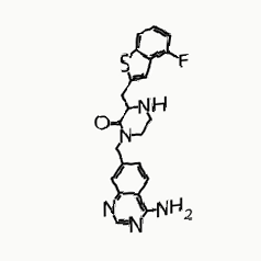 Nc1ncnc2cc(CN3CCNC(Cc4cc5c(F)cccc5s4)C3=O)ccc12